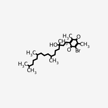 CC1=C(Br)C(=O)C(CCC(C)(O)CCCC(C)CCCC(C)CCCC(C)C)=C(C)C1=O